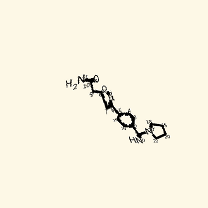 N=C(c1ccc(-c2cc([CH]C(N)=O)on2)cc1)N1CCCC1